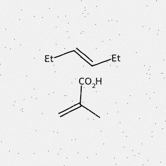 C=C(C)C(=O)O.CCC=CCC